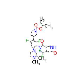 CC(C)OC(=O)N1CC=C(c2c(F)cc(N3CCN(C)C(C)C3)c(NC(=O)c3c[nH]c(=O)cc3C(F)F)c2F)C1